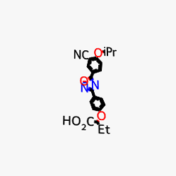 CCC(Oc1ccc(-c2noc(-c3ccc(OC(C)C)c(C#N)c3)n2)cc1)C(=O)O